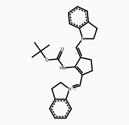 CC(C)(C)OC(=O)NC1=C(/C=[N+]2\CCc3ccccc32)CC/C1=C\N1CCc2ccccc21